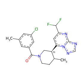 Cc1cc(Cl)cc(C(=O)N2CCC(C)[C@H](c3cc(C(F)F)nc4ncnn34)C2)c1